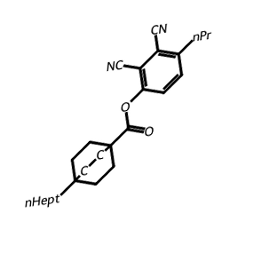 CCCCCCCC12CCC(C(=O)Oc3ccc(CCC)c(C#N)c3C#N)(CC1)CC2